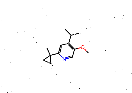 COc1cnc(C2(C)CC2)cc1C(C)C